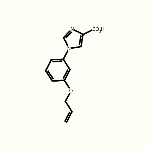 C=CCOc1cccc(-n2cnc(C(=O)O)c2)c1